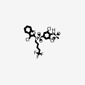 CS(=O)(=O)Nc1c(Cl)cc(S(=O)(=O)N(CCCCC(F)(F)F)c2sc3ccccc3c2Cl)cc1Cl